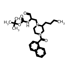 CCCCC1CN(C(=O)c2cccc3ccccc23)CCN1CC(C=O)NC(=O)OC(C)(C)C